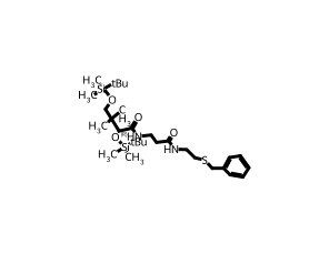 CC(C)(CO[Si](C)(C)C(C)(C)C)[C@@H](O[Si](C)(C)C(C)(C)C)C(=O)NCCC(=O)NCCSCc1ccccc1